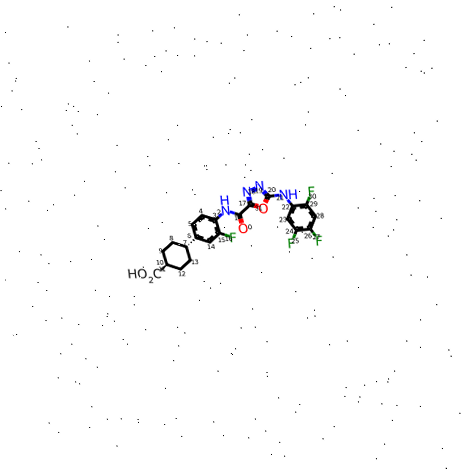 O=C(Nc1ccc([C@H]2CC[C@H](C(=O)O)CC2)cc1F)c1nnc(Nc2cc(F)c(F)cc2F)o1